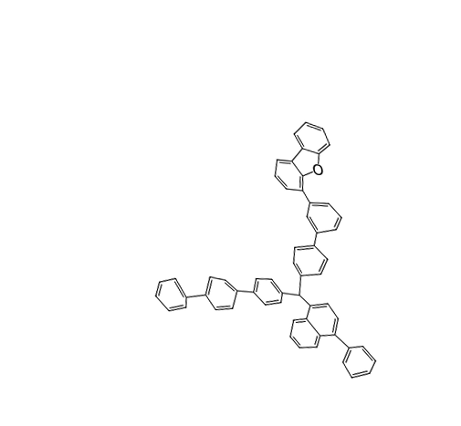 c1ccc(-c2ccc(-c3ccc(C(c4ccc(-c5cccc(-c6cccc7c6oc6ccccc67)c5)cc4)c4ccc(-c5ccccc5)c5ccccc45)cc3)cc2)cc1